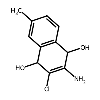 Cc1ccc2c(c1)C(O)C(Cl)=C(N)C2O